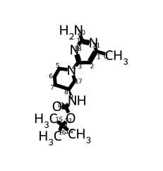 Cc1cc(N2CCC[C@H](NC(=O)OC(C)(C)C)C2)nc(N)n1